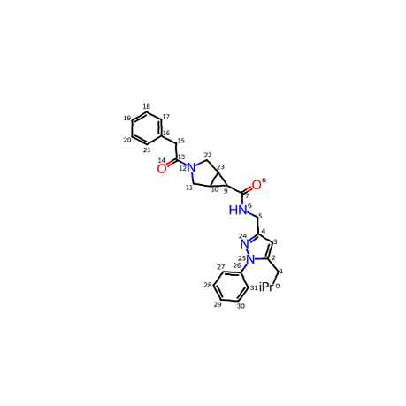 CC(C)Cc1cc(CNC(=O)C2C3CN(C(=O)Cc4ccccc4)CC32)nn1-c1ccccc1